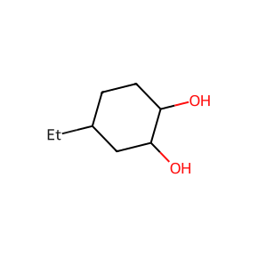 [CH2]CC1CCC(O)C(O)C1